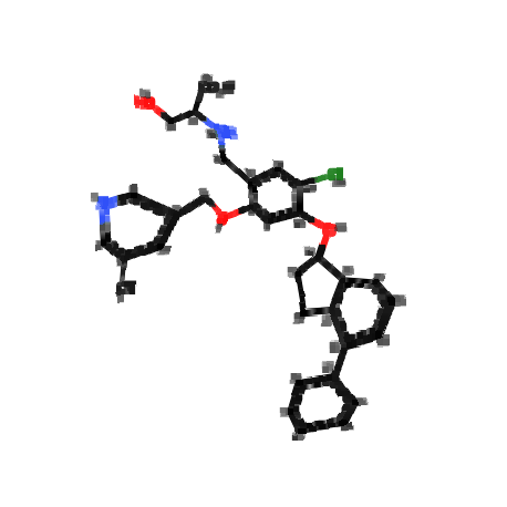 N#Cc1cncc(COc2cc(OC3CCc4c(-c5ccccc5)cccc43)c(Cl)cc2CNC(CO)C(=O)O)c1